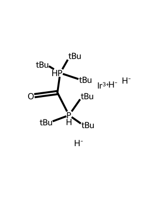 CC(C)(C)[PH](C(=O)[PH](C(C)(C)C)(C(C)(C)C)C(C)(C)C)(C(C)(C)C)C(C)(C)C.[H-].[H-].[H-].[Ir+3]